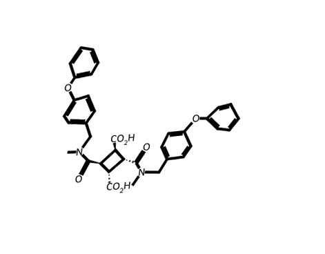 CN(Cc1ccc(Oc2ccccc2)cc1)C(=O)[C@H]1[C@H](C(=O)O)[C@H](C(=O)N(C)Cc2ccc(Oc3ccccc3)cc2)[C@H]1C(=O)O